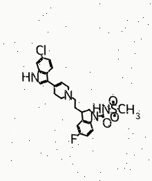 CS(=O)(=O)NC(=O)N1CC(CCN2CC=C(c3c[nH]c4cc(Cl)ccc34)CC2)c2cc(F)ccc21